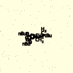 CCCCOC(=O)C1CC=C(C(C)(C)CC/C=C(\C)C(C)(C)C)CC1C(=O)OCCCC